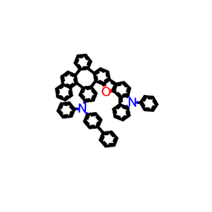 c1ccc(-c2ccc(N(c3ccccc3)c3ccc4c(c3)-c3c(ccc5ccccc35)-c3ccccc3-c3ccc5c(oc6c5ccc5c6c6ccccc6n5-c5ccccc5)c3-4)cc2)cc1